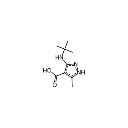 Cc1[nH]nc(NC(C)(C)C)c1C(=O)O